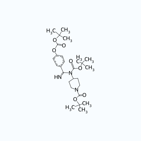 CC(C)(C)OC(=O)Oc1ccc(C(=N)N(C(=O)OC(C)(C)C)C2CCN(C(=O)OC(C)(C)C)CC2)cc1